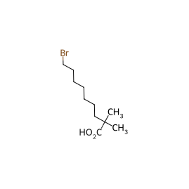 CC(C)(CCCCCCCBr)C(=O)O